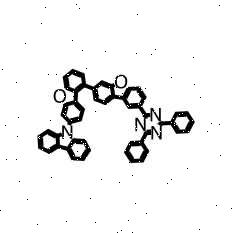 c1ccc(-c2nc(-c3ccccc3)nc(-c3ccc4oc5cc(-c6cccc7oc8cc(-n9c%10ccccc%10c%10ccccc%109)ccc8c67)ccc5c4c3)n2)cc1